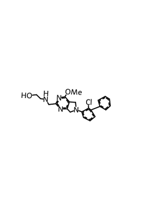 COc1nc(CNCCO)nc2c1CN(c1cccc(-c3ccccc3)c1Cl)C2